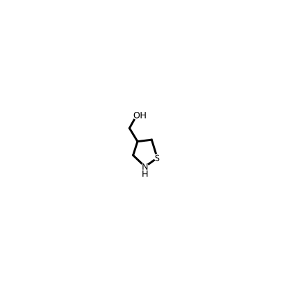 OCC1CNSC1